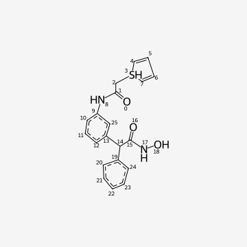 O=C(C[SH]1C=CC=C1)Nc1cccc(C(C(=O)NO)c2ccccc2)c1